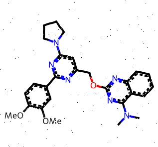 COc1ccc(-c2nc(COc3nc(N(C)C)c4ccccc4n3)cc(N3CCCC3)n2)cc1OC